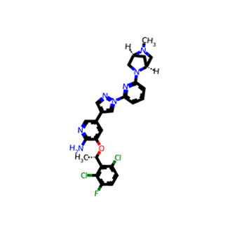 C[C@H](Oc1cc(-c2cnn(-c3cccc(N4C[C@@H]5C[C@H]4CN5C)n3)c2)cnc1N)c1c(Cl)ccc(F)c1Cl